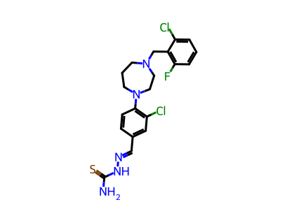 NC(=S)NN=Cc1ccc(N2CCCN(Cc3c(F)cccc3Cl)CC2)c(Cl)c1